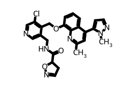 Cc1cc(-c2ccnn2C)c2cccc(OCc3c(Cl)cncc3CNC(=O)C3CC=NO3)c2n1